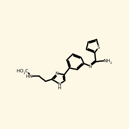 N/C(=N/c1cccc(-c2c[nH]c(CCNC(=O)O)n2)c1)c1cccs1